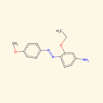 CCOc1cc(N)ccc1/N=N/c1ccc(OC)cc1